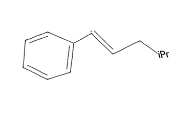 CC(C)CC=[C]c1ccccc1